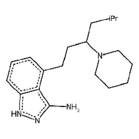 CC(C)CC(CCc1cccc2[nH]nc(N)c12)N1CCCCC1